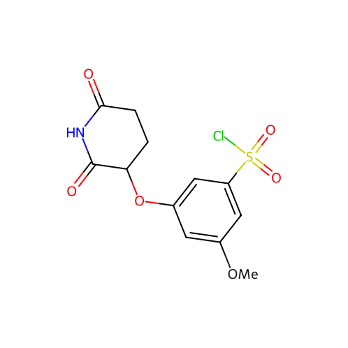 COc1cc(OC2CCC(=O)NC2=O)cc(S(=O)(=O)Cl)c1